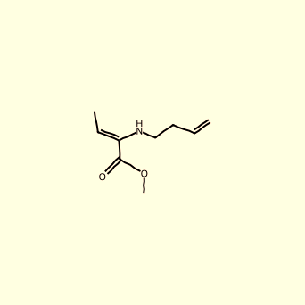 C=CCCN/C(=C\C)C(=O)OC